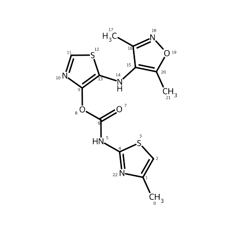 Cc1csc(NC(=O)Oc2ncsc2Nc2c(C)noc2C)n1